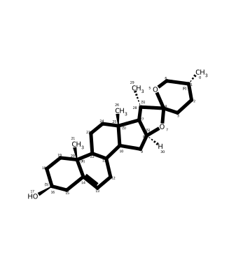 C[C@@H]1CCC2(OC1)O[C@H]1CC3C4CC=C5C[C@@H](O)CC[C@]5(C)C4CC[C@]3(C)C1[C@@H]2C